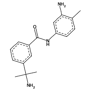 Cc1ccc(NC(=O)c2cccc(C(C)(C)N)c2)cc1N